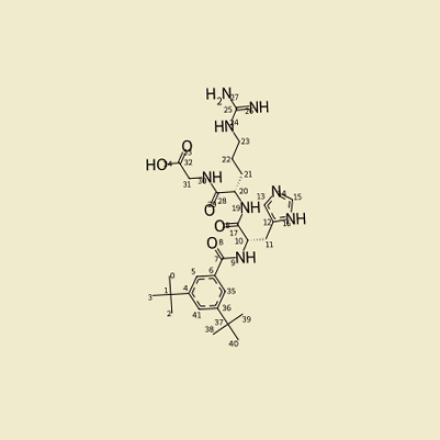 CC(C)(C)c1cc(C(=O)N[C@@H](Cc2cnc[nH]2)C(=O)N[C@@H](CCCNC(=N)N)C(=O)NCC(=O)O)cc(C(C)(C)C)c1